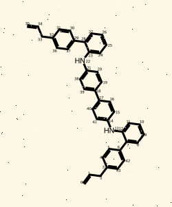 C=CCc1ccc(-c2ccccc2Nc2ccc(-c3ccc(Nc4ccccc4-c4ccc(CC=C)cc4)cc3)cc2)cc1